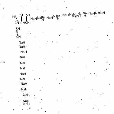 N#CS.N#CS.N#CS.N#CS.[NaH].[NaH].[NaH].[NaH].[NaH].[NaH].[NaH].[NaH].[NaH].[NaH].[NaH].[NaH].[NaH].[NaH].[NaH].[NaH].[NaH].[NaH].[NaH].[NaH].[NaH].[NaH].[NaH].[NaH].[NaH].[NaH].[NaH]